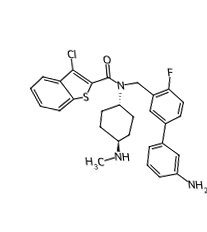 CN[C@H]1CC[C@H](N(Cc2cc(-c3cccc(N)c3)ccc2F)C(=O)c2sc3ccccc3c2Cl)CC1